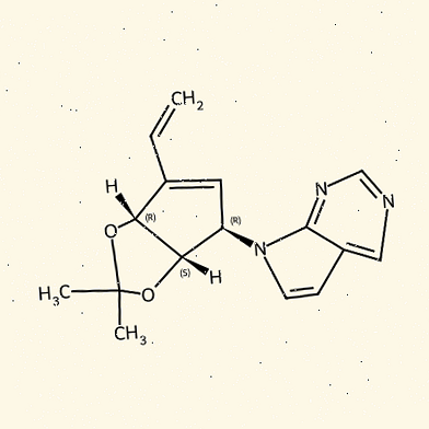 C=CC1=C[C@@H](n2ccc3cncnc32)[C@@H]2OC(C)(C)O[C@H]12